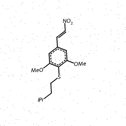 COc1cc(C=C[N+](=O)[O-])cc(OC)c1SCCC(C)C